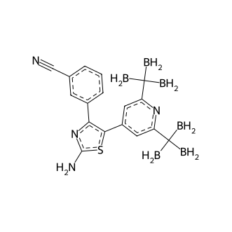 BC(B)(B)c1cc(-c2sc(N)nc2-c2cccc(C#N)c2)cc(C(B)(B)B)n1